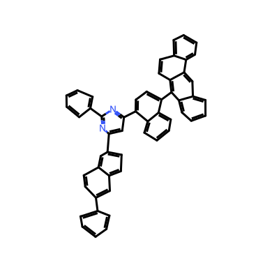 c1ccc(-c2ccc3cc(-c4cc(-c5ccc(-c6c7ccccc7cc7c6ccc6ccccc67)c6ccccc56)nc(-c5ccccc5)n4)ccc3c2)cc1